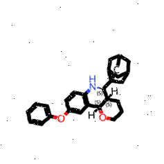 c1ccc(Oc2ccc3c(c2)[C@H]2OCCC[C@H]2[C@@H](C24CC5CC(CC2C5)C4)N3)cc1